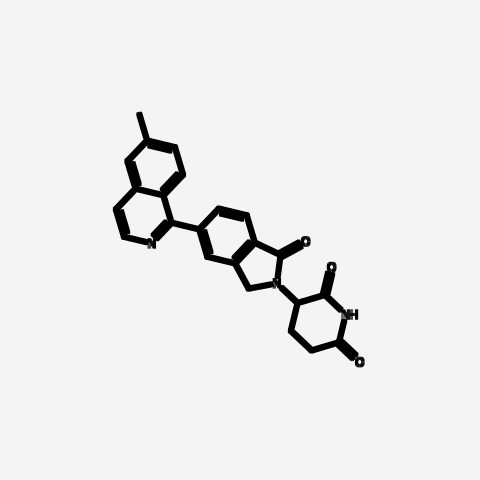 Cc1ccc2c(-c3ccc4c(c3)CN(C3CCC(=O)NC3=O)C4=O)nccc2c1